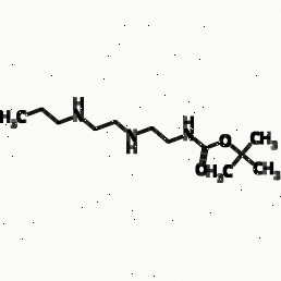 CCCNCCNCCNC(=O)OC(C)(C)C